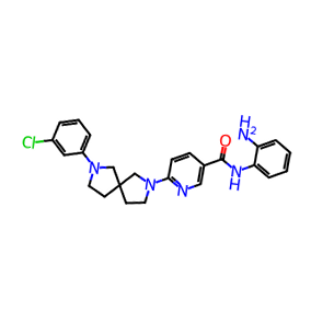 Nc1ccccc1NC(=O)c1ccc(N2CCC3(CCN(c4cccc(Cl)c4)C3)C2)nc1